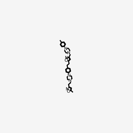 Cc1ccc(N2CCN(Cc3cc(CCc4ccc(N5CCN(CCc6cc(C)on6)CC5)cc4)on3)CC2)cc1